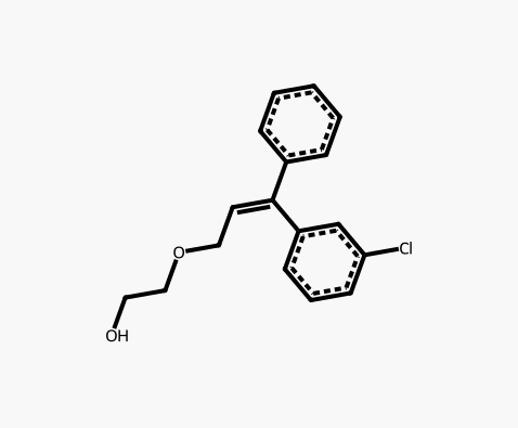 OCCOCC=C(c1ccccc1)c1cccc(Cl)c1